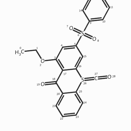 CCOc1cc(S(=O)(=O)c2ccccc2)cc2c1C(=O)c1ccccc1S2=C=O